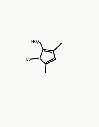 CCn1c(C)cc(C)c1C(=O)O